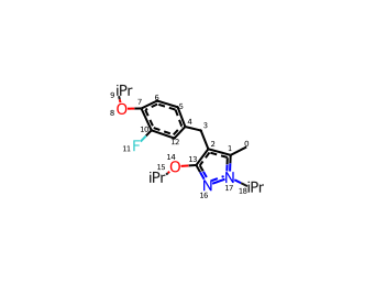 Cc1c(Cc2ccc(OC(C)C)c(F)c2)c(OC(C)C)nn1C(C)C